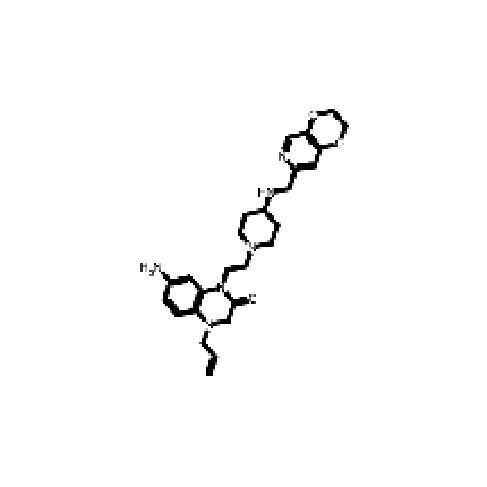 C=CCN1CC(=O)N(CCN2CCC(NCc3cc4c(cn3)OCCO4)CC2)c2cc(N)ccc21